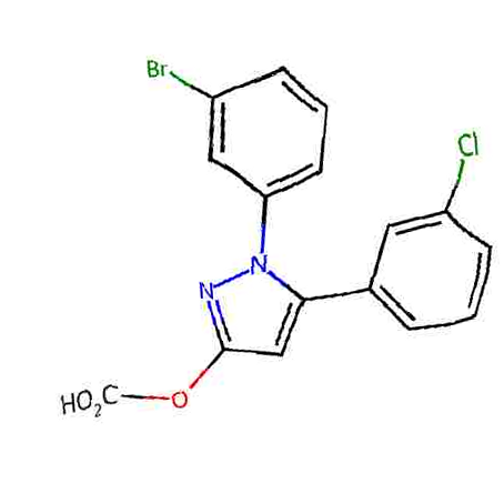 O=C(O)Oc1cc(-c2cccc(Cl)c2)n(-c2cccc(Br)c2)n1